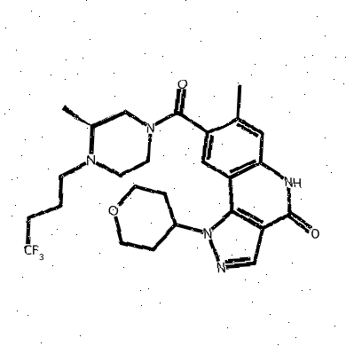 Cc1cc2[nH]c(=O)c3cnn(C4CCOCC4)c3c2cc1C(=O)N1CCN(CCCC(F)(F)F)[C@@H](C)C1